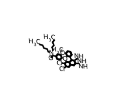 CCCCCCN(CCCCCC)C(=O)c1ccc(Oc2c(Cl)c(Cl)cc3cc4c(c(-c5cccc(OC)c5)c23)C(=N)NC4=N)cc1